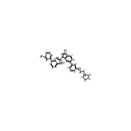 Fc1cccc(-c2cccc3[nH]c(-c4n[nH]c5ccc(-c6cncc(OCCN7CCCC7)c6)nc45)nc23)c1